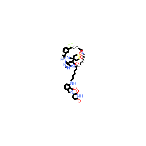 C[C@H]1Nc2ncnc3c2cc(C2(C#N)CCS(=O)(=O)CC2)c(=O)n3C(CCCCCCNc2cccc3c2C(=O)N(C2CCC(=O)NC2=O)C3)CCCCCN2CC(CCC(F)(F)c3cccc1c3)C2